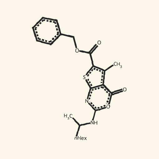 CCCCCCC(C)Nc1nc2sc(C(=O)OCc3ccccc3)c(C)c2c(=O)o1